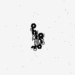 C=CC(=O)N[C@@H]1CCC[C@H]1NC(=O)c1sc2nccc3c2c1NC(=O)N3c1ncc(Oc2ccccc2)cn1